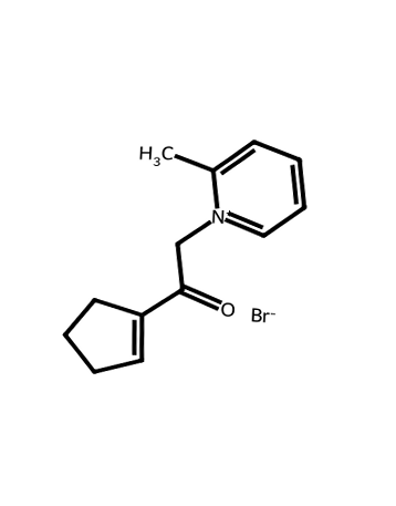 Cc1cccc[n+]1CC(=O)C1=CCCC1.[Br-]